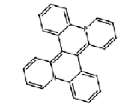 C1=CC2=C3C(=C4C=CC=CP4c4ccccc43)c3ccccc3N2C=C1